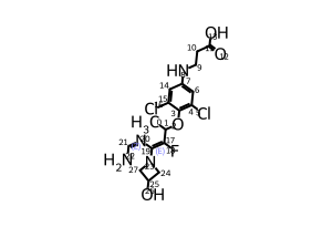 CC(Oc1c(Cl)cc(NCCC(=O)O)cc1Cl)/C(F)=C(\N=C/N)N1CC(O)C1